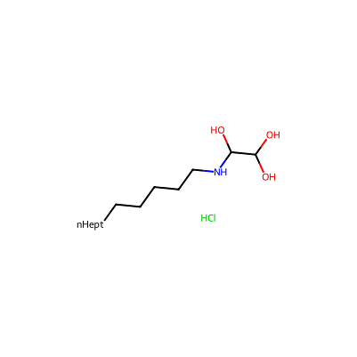 CCCCCCCCCCCCNC(O)C(O)O.Cl